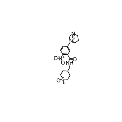 C=S1(=O)CCC(CNC(=O)c2cc(N3CCN4CCC3CC4)ccc2[N+](=O)[O-])CC1